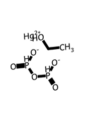 CCO.O=[PH]([O-])O[PH](=O)[O-].[Hg+2]